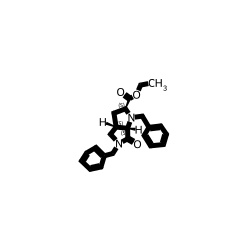 CCOC(=O)[C@@H]1C[C@H]2CN(Cc3ccccc3)C(=O)[C@H]2N1Cc1ccccc1